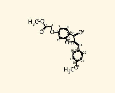 COC(=O)COc1ccc2c(c1)OC(=Cc1ccc(OC)cc1)C2=O